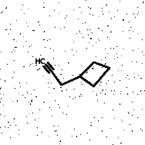 C#CCC1CCC1